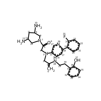 C=C(CN(CC(=O)N1CC(N)CC(N)C1)c1ccc(-c2ccccc2F)nc1)NCCc1ccccc1O